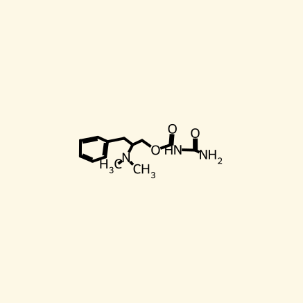 CN(C)C(COC(=O)NC(N)=O)Cc1ccccc1